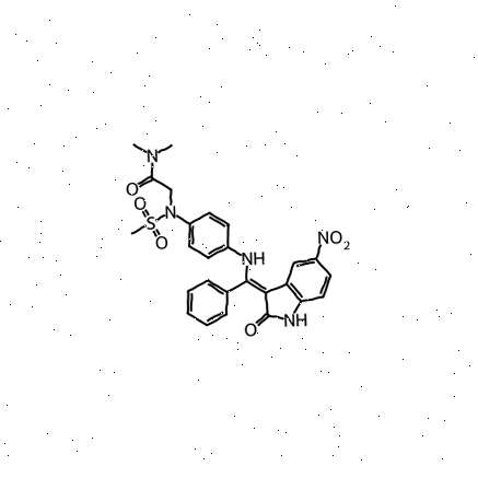 CN(C)C(=O)CN(c1ccc(NC(=C2C(=O)Nc3ccc([N+](=O)[O-])cc32)c2ccccc2)cc1)S(C)(=O)=O